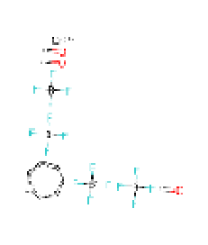 F[B-](F)(F)F.F[B-](F)(F)F.F[B-](F)(F)F.F[B-](F)(F)F.[C]=O.[C]=O.[C]=O.[Cr+3].c1ccc[cH+]cc1